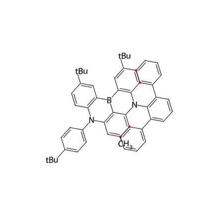 Cc1cc2c3c(c1)N(c1c(-c4ccccc4)cccc1-c1ccccc1)c1ccc(C(C)(C)C)cc1B3c1cc(C(C)(C)C)ccc1N2c1ccc(C(C)(C)C)cc1